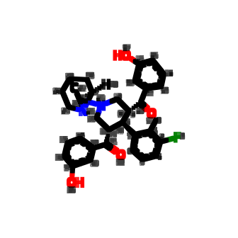 Cc1c(F)cccc1[C@@H]1[C@@H](C(=O)c2cccc(O)c2)CN([C@@H]2CC3CCN2CC3)C[C@H]1C(=O)c1cccc(O)c1